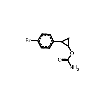 NC(=O)OC1CC1c1ccc(Br)cc1